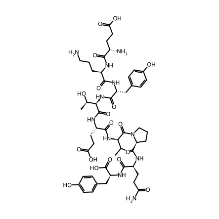 CC(C)[C@@H](NC(=O)[C@H](CCC(=O)O)NC(=O)[C@H](NC(=O)[C@@H](Cc1ccc(O)cc1)NC(=O)[C@@H](CCCN)NC(=O)[C@@H](N)CCC(=O)O)[C@@H](C)O)C(=O)N1CCC[C@H]1C(=O)N[C@@H](CCC(N)=O)C(=O)N[C@@H](Cc1ccc(O)cc1)C(=O)O